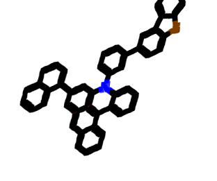 c1cc(-c2ccc3sc4ccccc4c3c2)cc(N(c2cccc(-c3cccc4ccccc34)c2)c2ccccc2-c2cccc3ccccc23)c1